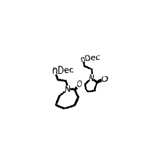 CCCCCCCCCCCCN1CCCC1=O.CCCCCCCCCCCCN1CCCCCC1=O